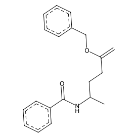 C=C(CCC(C)NC(=O)c1ccccc1)OCc1ccccc1